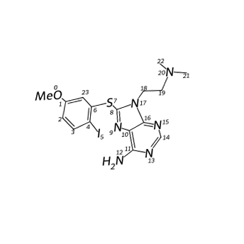 COc1ccc(I)c(Sc2nc3c(N)ncnc3n2CCN(C)C)c1